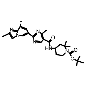 Cc1cn2cc(-c3ncc(C(=O)NC4CCN(C(=O)OC(C)(C)C)C(C)(C)C4)c(C)n3)cc(F)c2n1